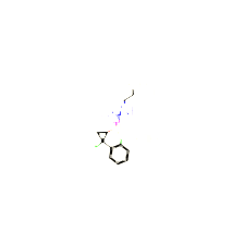 CCCNNOC1CC1(Cl)c1ccccc1Cl.Cl